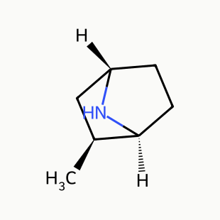 C[C@H]1C[C@@H]2CC[C@@H]1N2